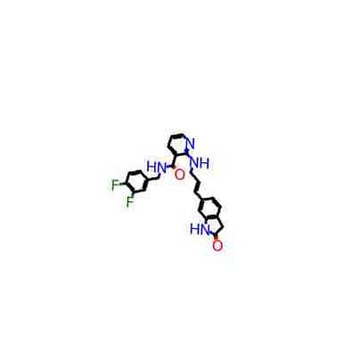 O=C1Cc2ccc(C=CCNc3ncccc3C(=O)NCc3ccc(F)c(F)c3)cc2N1